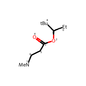 CCC(OC(=O)CCNC)C(C)(C)C